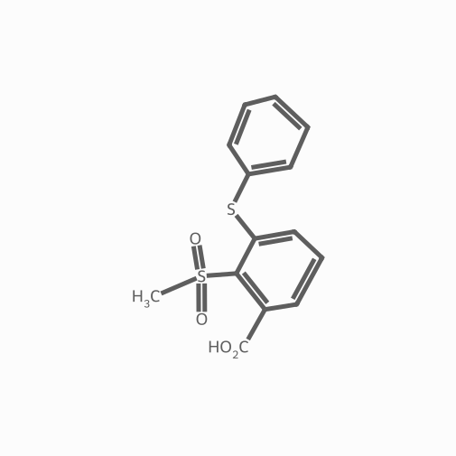 CS(=O)(=O)c1c(Sc2ccccc2)cccc1C(=O)O